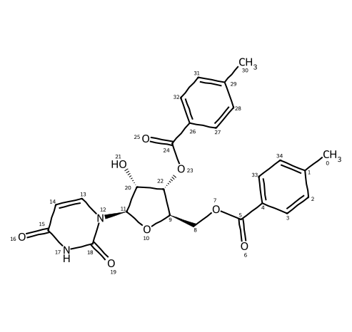 Cc1ccc(C(=O)OC[C@H]2O[C@@H](n3ccc(=O)[nH]c3=O)[C@H](O)[C@@H]2OC(=O)c2ccc(C)cc2)cc1